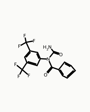 NC(=O)N(C(=O)c1ccccc1)c1cc(C(F)(F)F)cc(C(F)(F)F)c1